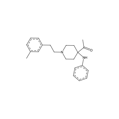 CC(=O)C1(Nc2ccccc2)CCN(CCc2cccc(C)c2)CC1